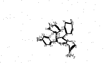 Nc1csc2c(-c3ccc(F)cc3)c(-c3ccncc3)c(-c3ccc(F)cc3)nc12